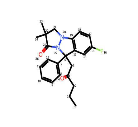 CCCC(=O)CC1(c2ccccc2)c2cc(F)ccc2N2CC(C)(C)C(=O)N21